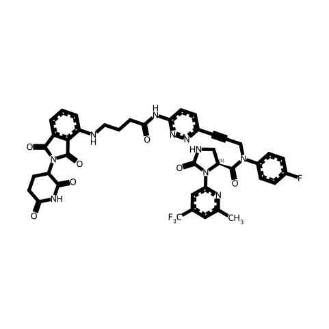 Cc1cc(C(F)(F)F)cc(N2C(=O)NC[C@H]2C(=O)N(CC#Cc2ccc(NC(=O)CCCNc3cccc4c3C(=O)N(C3CCC(=O)NC3=O)C4=O)nn2)c2ccc(F)cc2)n1